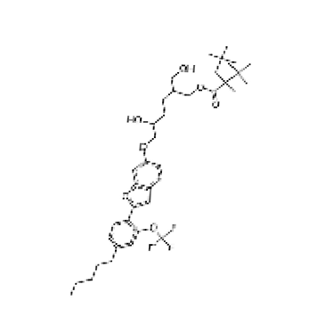 CCCCCc1ccc(-c2cc3ccc(OCC(O)CCC(CO)COC(=O)C(C)(CC(C)(C)C)C(C)(C)C)cc3o2)c(OC(F)(F)F)c1